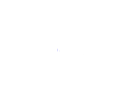 CC1(C)c2ccccc2N(c2ccc3c(c2)C(c2ccccc2)(c2ccccc2)c2ccccc2-3)c2ccc(-c3ccccc3)cc21